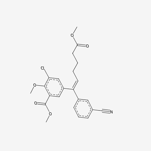 COC(=O)CCCC=C(c1cccc(C#N)c1)c1cc(Cl)c(OC)c(C(=O)OC)c1